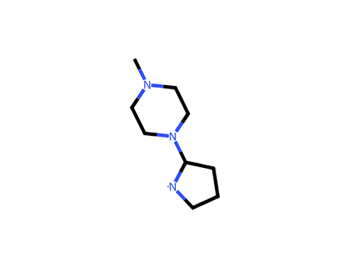 CN1CCN(C2CCC[N]2)CC1